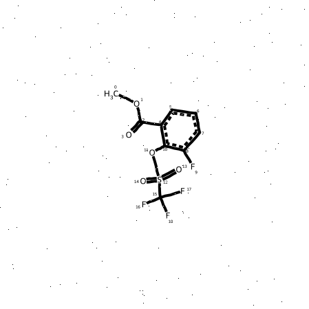 COC(=O)c1cccc(F)c1OS(=O)(=O)C(F)(F)F